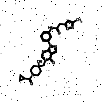 Cc1cc(CC(=O)Nc2cccc(-n3ncc4c(=O)n(CC5(O)CCN(C(=O)C6CC6)CC5)cnc43)c2)on1